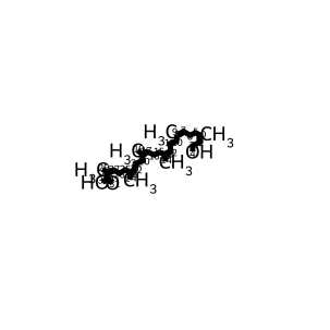 CC(=CCO)CCC=C(C)CCC=C(C)CCC=C(C)CCC=C(C)CCC=C(C)C(=O)O